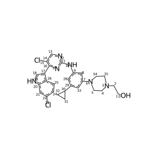 OCCN1CCN(c2cc(Nc3ncc(Cl)c(-c4c[nH]c5cc(Cl)ccc45)n3)cc(C3CC3)c2)CC1